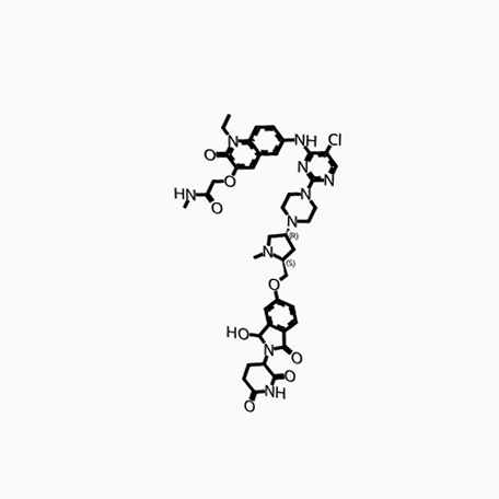 CCn1c(=O)c(OCC(=O)NC)cc2cc(Nc3nc(N4CCN([C@@H]5C[C@@H](COc6ccc7c(c6)C(O)N(C6CCC(=O)NC6=O)C7=O)N(C)C5)CC4)ncc3Cl)ccc21